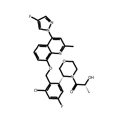 Cc1cc(-n2cc(F)cn2)c2cccc(OCc3c(Cl)cc(F)cc3[C@@H]3COCCN3C(=O)[C@@H](C)O)c2n1